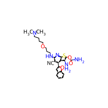 CN(C)CCCCOCCCNc1nc2sc(OC(N)=O)c(N)c2c(-c2cc3ccccc3o2)c1C#N